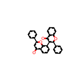 O=c1c(-c2cccc3c(=O)cc(-c4ccccc4)oc23)c(-c2ccccc2)oc2ccccc12